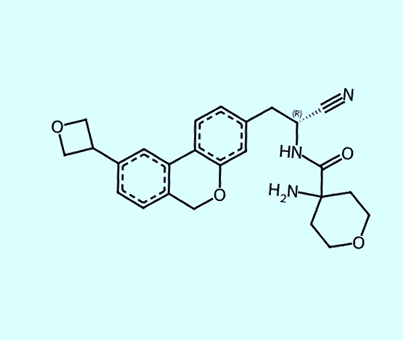 N#C[C@@H](Cc1ccc2c(c1)OCc1ccc(C3COC3)cc1-2)NC(=O)C1(N)CCOCC1